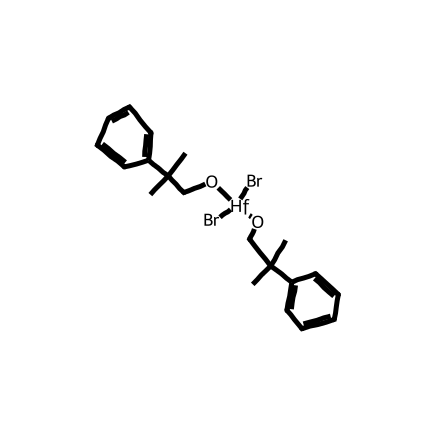 CC(C)(C[O][Hf]([Br])([Br])[O]CC(C)(C)c1ccccc1)c1ccccc1